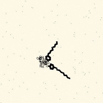 CCCCCCCCCc1ccc(OP(=O)(Oc2ccc(CCCCCCCCC)cc2)OP(=O)(O)OP(=O)(O)O)cc1.[Nd]